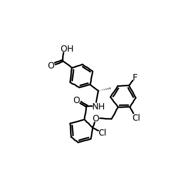 C[C@H](NC(=O)C1C=CC=CC1(Cl)OCc1ccc(F)cc1Cl)c1ccc(C(=O)O)cc1